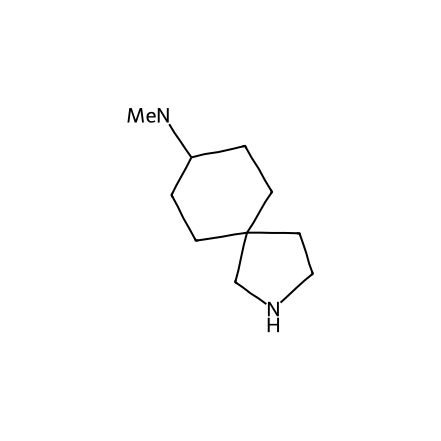 CNC1CCC2(CCNC2)CC1